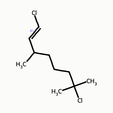 CC(/C=C/Cl)CCCC(C)(C)Cl